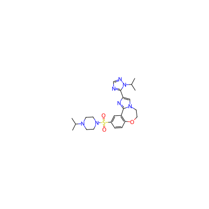 CC(C)N1CCN(S(=O)(=O)c2ccc3c(c2)-c2nc(-c4ncnn4C(C)C)cn2CCO3)CC1